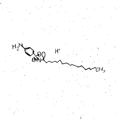 CCCCCCCCCCCCCCCCCC(=O)NS(=O)(=O)c1ccc(N)cc1.[H+]